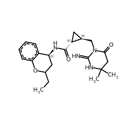 CCC1C[C@H](NC(=O)[C@@H]2C[C@H]2CN2C(=N)NC(C)(C)CC2=O)c2ccccc2O1